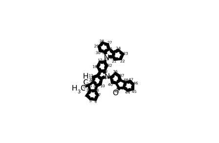 CC1(C)c2ccccc2-c2cc3c(cc21)c1ccc(-n2c4ccccc4c4ccccc42)cc1n3-c1ccc2c(c1)C(=O)c1ccccc1-2